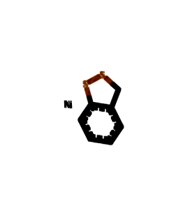 [Ni].c1ccc2c(c1)CSS2